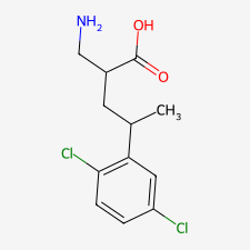 CC(CC(CN)C(=O)O)c1cc(Cl)ccc1Cl